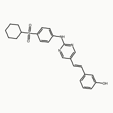 O=S(=O)(c1ccc(Nc2ncc(/C=C/c3cccc(O)c3)cn2)cc1)C1CCCCC1